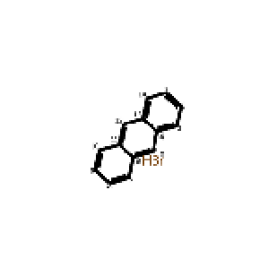 Br.c1ccc2cc3ccccc3cc2c1